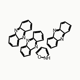 C1=CNOC=C1.c1ccc2nc3ccccc3nc2c1.c1ccc2nc3ccccc3nc2c1.c1ccc2nc3ccccc3nc2c1